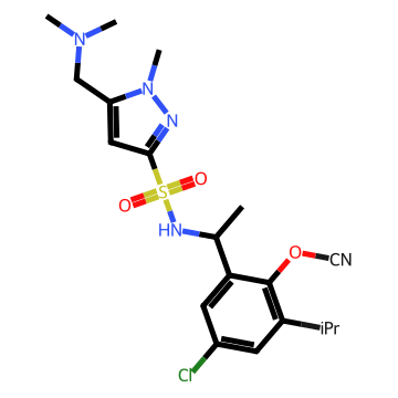 CC(C)c1cc(Cl)cc(C(C)NS(=O)(=O)c2cc(CN(C)C)n(C)n2)c1OC#N